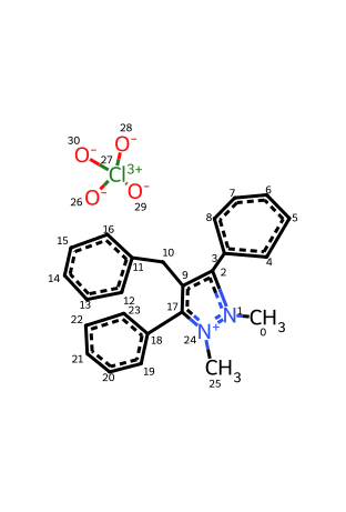 Cn1c(-c2ccccc2)c(Cc2ccccc2)c(-c2ccccc2)[n+]1C.[O-][Cl+3]([O-])([O-])[O-]